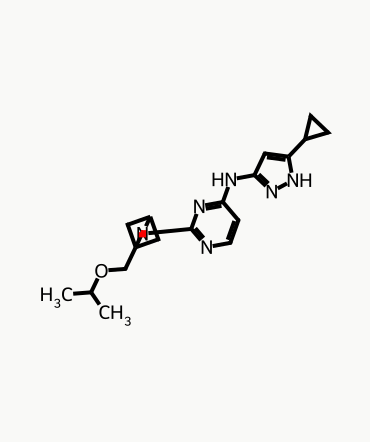 CC(C)OCC12CC(C1)N(c1nccc(Nc3cc(C4CC4)[nH]n3)n1)C2